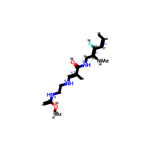 C=C(NCCN/C=C(\C)C(=O)NC/C(NC)=C(F)/C=C\C)OC(C)(C)C